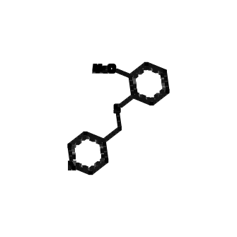 COc1ccccc1SCc1ccncc1